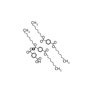 CCCCCCCCOC(=O)c1ccc(C(=O)OCCCCCCCC)cc1.CCCCCCCCOC(=O)c1ccc(C(=O)OCCCCCCCC)cc1.O=C(O)c1ccc(C(=O)O)cc1